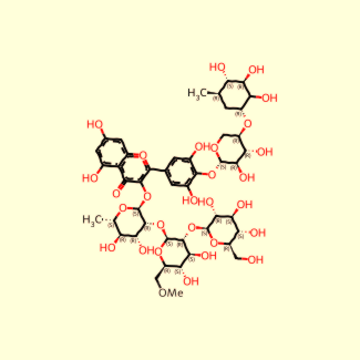 COC[C@H]1O[C@@H](O[C@H]2[C@H](Oc3c(-c4cc(O)c(O[C@@H]5OC[C@@H](O[C@@H]6C[C@@H](C)[C@H](O)[C@@H](O)C6O)[C@H](O)[C@H]5O)c(O)c4)oc4cc(O)cc(O)c4c3=O)O[C@@H](C)[C@H](O)[C@H]2O)[C@H](O[C@@H]2O[C@H](CO)[C@@H](O)[C@H](O)[C@H]2O)[C@@H](O)[C@@H]1O